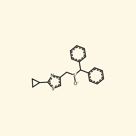 [O-][S+](Cc1csc(C2CC2)n1)C(c1ccccc1)c1ccccc1